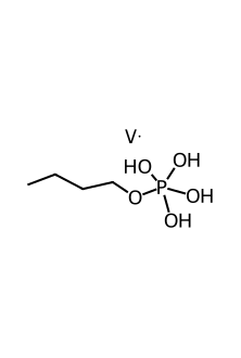 CCCCOP(O)(O)(O)O.[V]